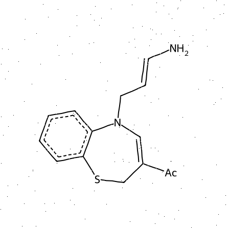 CC(=O)C1=CN(CC=CN)c2ccccc2SC1